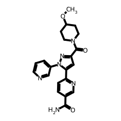 COC1CCN(C(=O)c2cc(-c3ccc(C(N)=O)cn3)n(-c3cccnc3)n2)CC1